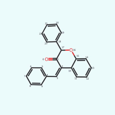 O=C1C(=Cc2ccccc2)c2ccccc2OC1c1ccccc1